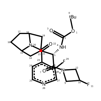 CC(C)(C)OC(=O)N[C@H](C(=O)N1CC(F)C1)C1CC2CCC(C1)N2C(=O)c1ccncc1F